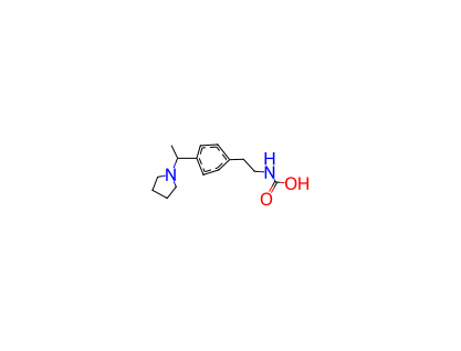 CC(c1ccc(CCNC(=O)O)cc1)N1CCCC1